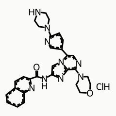 Cl.O=C(Nc1cn2c(-c3ccc(N4CCNCC4)nc3)cnc(N3CCOCC3)c2n1)c1ccc2ccccc2n1